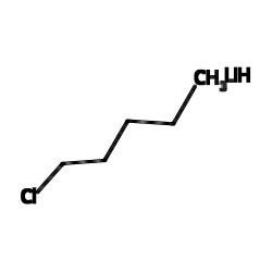 CCCCCCl.[LiH]